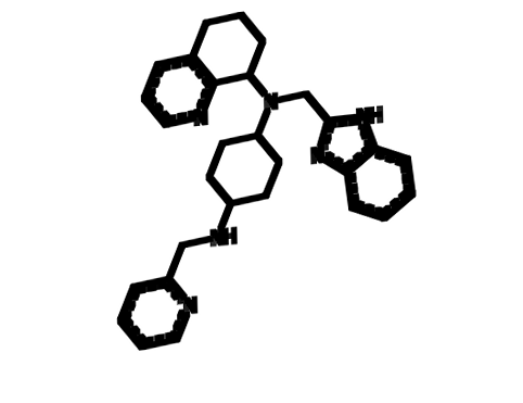 c1ccc(CNC2CCC(N(Cc3nc4ccccc4[nH]3)C3CCCc4cccnc43)CC2)nc1